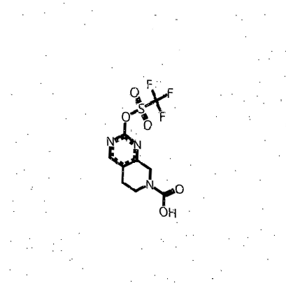 O=C(O)N1CCc2cnc(OS(=O)(=O)C(F)(F)F)nc2C1